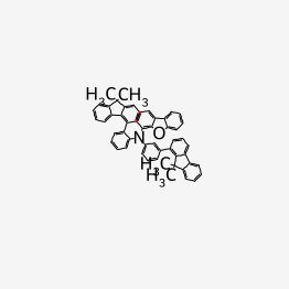 CC1(C)c2ccccc2-c2c(-c3ccccc3N(c3cccc(-c4cccc5c4C(C)(C)c4ccccc4-5)c3)c3cccc4c3oc3ccccc34)cccc21